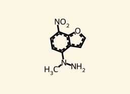 CN(N)c1ccc([N+](=O)[O-])c2occc12